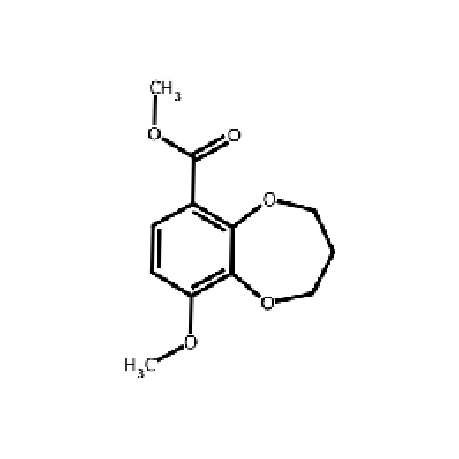 COC(=O)c1ccc(OC)c2c1OCCCO2